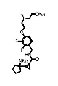 CNC1(C2=C(C(=O)NCc3ccc(OCCN(C)CCOC)c(F)c3F)C2)CCCC1